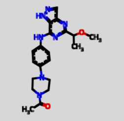 COC(C)c1nc(Nc2ccc(N3CCN(C(C)=O)CC3)cc2)c2[nH]ncc2n1